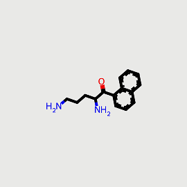 NCCCC(N)C(=O)c1cccc2ccccc12